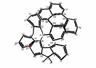 CC1(C)c2ccccc2-c2c(N(c3ccccc3-c3ccccc3)c3ccccc3-c3cccc4cccc(-c5ccccc5)c34)cccc21